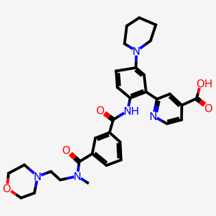 CN(CCN1CCOCC1)C(=O)c1cccc(C(=O)Nc2ccc(N3CCCCC3)cc2-c2cc(C(=O)O)ccn2)c1